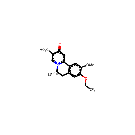 CC[C@H]1Cc2cc(OCC(F)(F)F)c(OC)cc2-c2cc(=O)c(C(=O)O)cn21